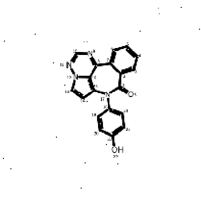 O=C1c2ccccc2-c2ncnn3ccc(c23)N1c1ccc(O)cc1